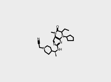 CCC1C(=O)N(C)c2cnc(N[C@@H](C)C3CCN(CC#N)CC3)nc2N1C1CCCC1